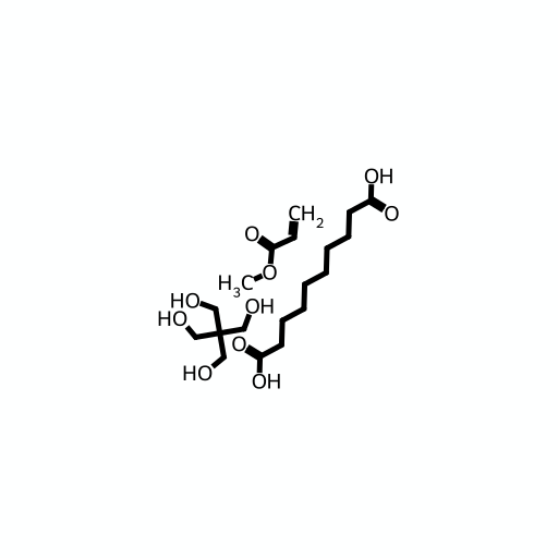 C=CC(=O)OC.O=C(O)CCCCCCCCC(=O)O.OCC(CO)(CO)CO